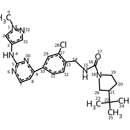 Cn1cc(Nc2nccc(-c3ccc(CNC(=O)N4CCC(C(C)(C)C)C4)c(Cl)c3)n2)cn1